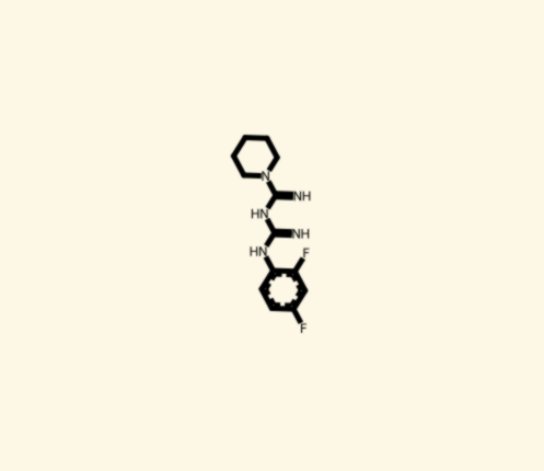 N=C(NC(=N)N1CCCCC1)Nc1ccc(F)cc1F